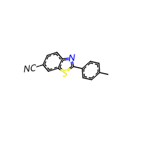 Cc1ccc(-c2nc3ccc(C#N)cc3s2)cc1